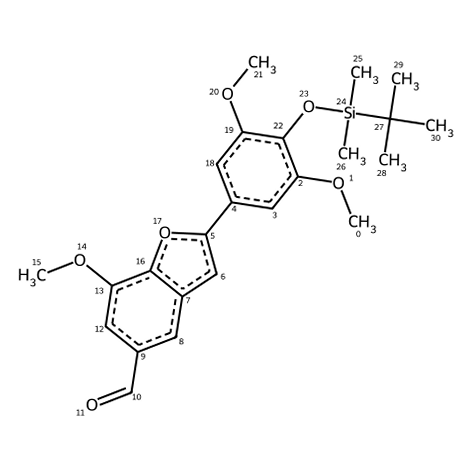 COc1cc(-c2cc3cc(C=O)cc(OC)c3o2)cc(OC)c1O[Si](C)(C)C(C)(C)C